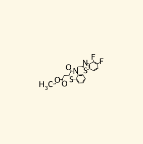 CCOC(=O)CC1Sc2ccccc2N(Cc2nc3c(F)c(F)ccc3s2)C1=O